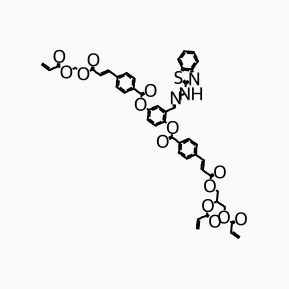 C=CC(=O)OCOC(=O)/C=C/c1ccc(C(=O)Oc2ccc(OC(=O)c3ccc(/C=C/C(=O)OCC(COC(=O)C=C)OC(=O)C=C)cc3)c(/C=N/Nc3nc4ccccc4s3)c2)cc1